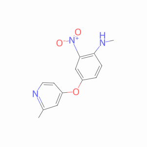 CNc1ccc(Oc2ccnc(C)c2)cc1[N+](=O)[O-]